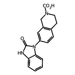 O=C(O)N1CCc2ccc(-n3c(=O)[nH]c4ccccc43)cc2C1